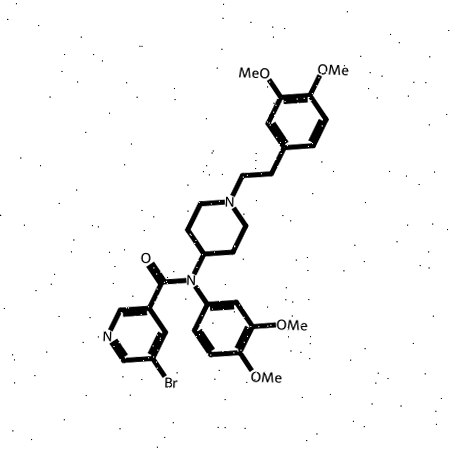 COc1ccc(CCN2CCC(N(C(=O)c3cncc(Br)c3)c3ccc(OC)c(OC)c3)CC2)cc1OC